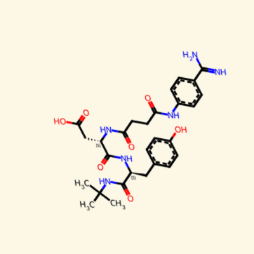 CC(C)(C)NC(=O)[C@H](Cc1ccc(O)cc1)NC(=O)[C@H](CC(=O)O)NC(=O)CCC(=O)Nc1ccc(C(=N)N)cc1